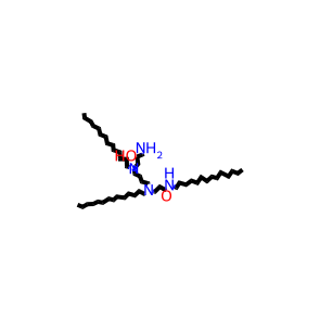 CCCCCCCCCCCCCCNC(=O)CCN(CCCCCCCCCCCCCC)CCCCN(CCCCCCCCCCCCCC)CC(O)CN